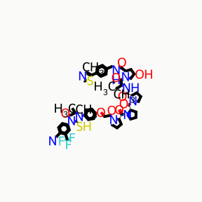 Cc1ncsc1-c1ccc(CNC(=O)C2C[C@@H](O)CN2C(=O)C(NC(=O)[C@@H]2CCCN2C(=O)[C@@H]2CCCN2C(=O)[C@@H]2CCCN2C(=O)COc2ccc(N3[C@@H](S)N(c4ccc(C#N)c(C(F)(F)F)c4)C(=O)C3(C)C)cc2)C(C)C)cc1